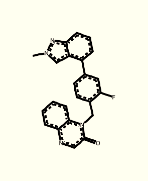 Cn1cc2c(-c3ccc(Cn4c(=O)cnc5ccccc54)c(F)c3)cccc2n1